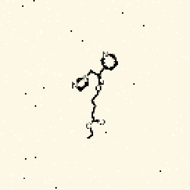 CCOC(=O)CCCCON=C(Cn1ccnc1)c1cccnc1